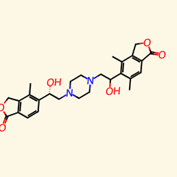 Cc1cc2c(c(C)c1C(O)CN1CCN(C[C@@H](O)c3ccc4c(c3C)COC4=O)CC1)COC2=O